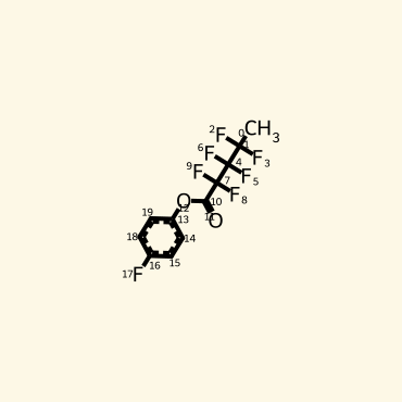 CC(F)(F)C(F)(F)C(F)(F)C(=O)Oc1ccc(F)cc1